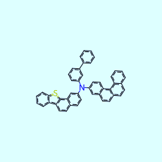 c1ccc(-c2cccc(N(c3ccc4c(ccc5ccc6ccccc6c54)c3)c3ccc4ccc5c6ccccc6sc5c4c3)c2)cc1